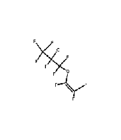 FC(F)=C(F)OC(F)(F)C(F)(Cl)C(F)(F)F